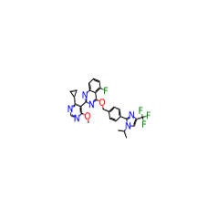 COc1ncnc(C2CC2)c1-c1nc(OCc2ccc(-c3nc(C(F)(F)F)cn3C(C)C)cc2)c2c(F)cccc2n1